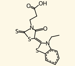 CCN1C(=C2SC(=S)N(CCC(=O)O)C2=O)Sc2ccccc21